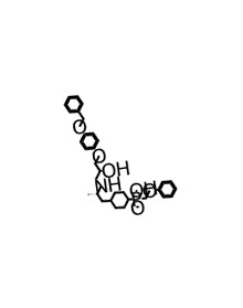 C[C@@H](CC1CCC(P(=O)(O)COc2ccccc2)CC1)NC[C@@H](O)COc1ccc(OCc2ccccc2)cc1